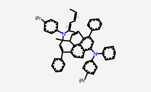 C/C=C\C=C(/C)N(c1ccc(C(C)C)cc1)C1(C)C=C(c2ccccc2)c2ccc3c(N(c4ccccc4)c4ccc(C(C)C)cc4)cc(-c4ccccc4)c4c3c2C1C=C4